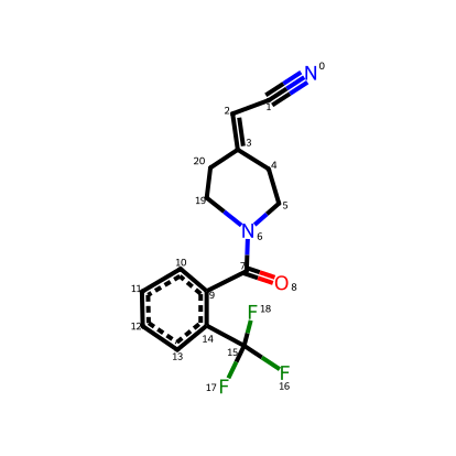 N#CC=C1CCN(C(=O)c2ccccc2C(F)(F)F)CC1